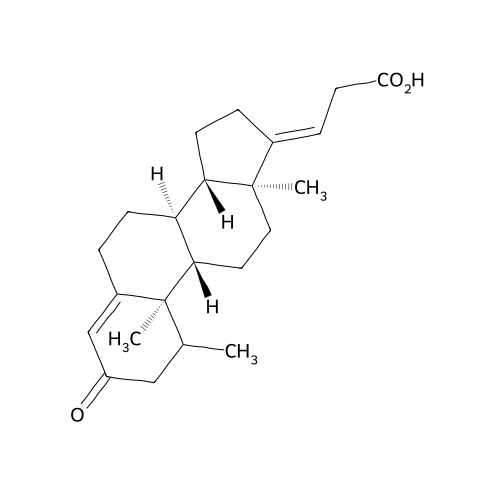 CC1CC(=O)C=C2CC[C@H]3[C@@H]4CC/C(=C\CC(=O)O)[C@@]4(C)CC[C@@H]3[C@]21C